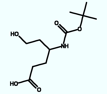 CC(C)(C)OC(=O)NC(CCO)CCC(=O)O